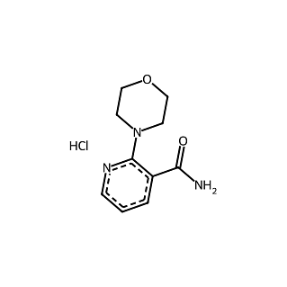 Cl.NC(=O)c1cccnc1N1CCOCC1